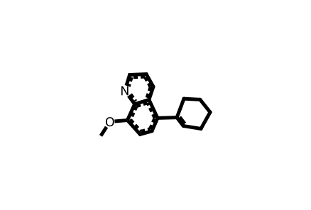 COc1ccc(C2=CCCCC2)c2cccnc12